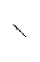 [CH2]C[CH]CCCCCCCCCCCCCCCCC